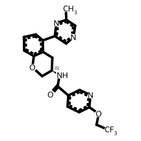 Cc1cncc(-c2cccc3c2C[C@H](NC(=O)c2ccc(OCC(F)(F)F)nc2)CO3)n1